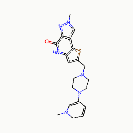 CN1C=C(N2CCN(Cc3cc4[nH]c(=O)c5nn(C)cc5c4s3)CC2)C=CC1